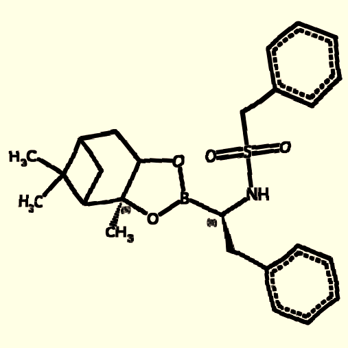 CC1(C)C2CC3OB([C@H](Cc4ccccc4)NS(=O)(=O)Cc4ccccc4)O[C@@]3(C)C1C2